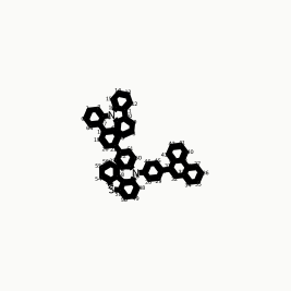 c1ccc(-n2c3ccccc3c3ccccc32)c(-c2ccc(-c3ccc(N(c4ccc(-c5cc6ccccc6c6ccccc56)cc4)c4cccc5sc6ccccc6c45)cc3)cc2)c1